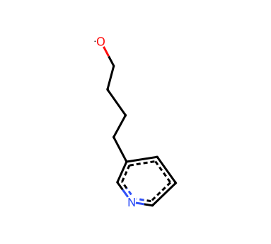 [O]CCCCc1cccnc1